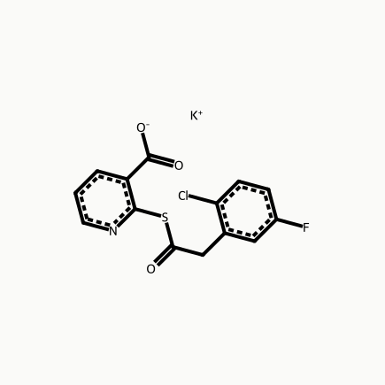 O=C(Cc1cc(F)ccc1Cl)Sc1ncccc1C(=O)[O-].[K+]